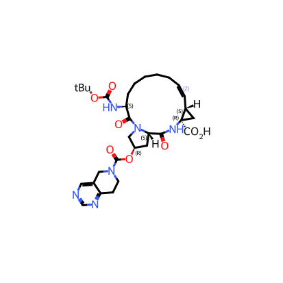 CC(C)(C)OC(=O)N[C@H]1CCCCC/C=C\[C@@H]2C[C@@]2(C(=O)O)NC(=O)[C@@H]2C[C@@H](OC(=O)N3CCc4ncncc4C3)CN2C1=O